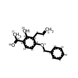 C=CCc1c(OCc2ccccc2)ccc(C(C)=O)c1O